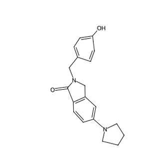 O=C1c2ccc(N3CCCC3)cc2CN1Cc1ccc(O)cc1